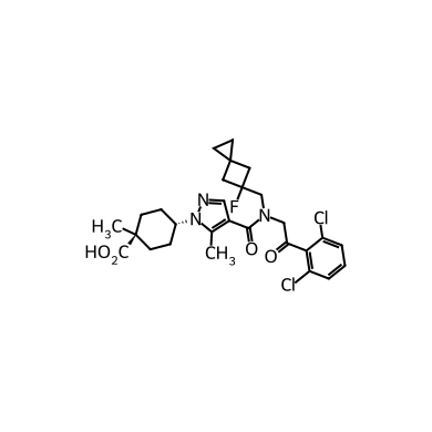 Cc1c(C(=O)N(CC(=O)c2c(Cl)cccc2Cl)CC2(F)CC3(CC3)C2)cnn1[C@H]1CC[C@](C)(C(=O)O)CC1